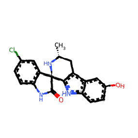 C[C@@H]1Cc2c([nH]c3ccc(O)cc23)[C@]2(N1)C(=O)Nc1ccc(Cl)cc12